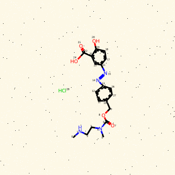 CNCCN(C)C(=O)OCc1ccc(/N=N/c2ccc(O)c(C(=O)O)c2)cc1.Cl